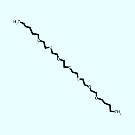 CCCCCCOCCOCCOCCOCCOCCOCCOCCCCC